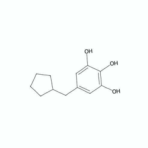 Oc1cc(CC2CCCC2)cc(O)c1O